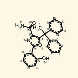 CC(c1ccccc1)(c1ccccc1)c1oc(-c2ccccc2O)nc1C(N)=O